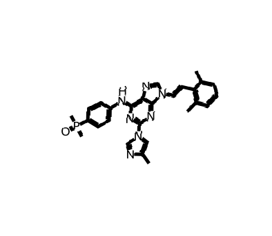 Cc1cn(-c2nc(Nc3ccc(P(C)(C)=O)cc3)c3ncn(C=Cc4c(C)cccc4C)c3n2)cn1